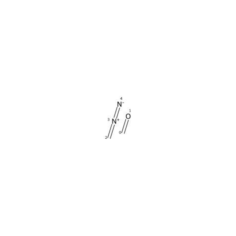 C=O.C=[N+]=[N-]